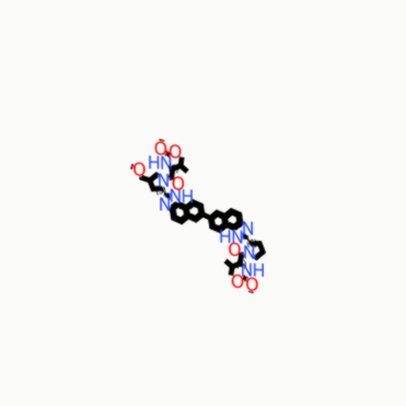 COCC1C[C@@H](c2nc3ccc4cc(-c5ccc6c(ccc7nc([C@@H]8CCCN8C(=O)[C@@H](NC(=O)OC)C(C)C)[nH]c76)c5)ccc4c3[nH]2)N(C(=O)[C@@H](NC(=O)OC)C(C)C)C1